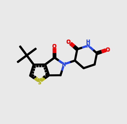 CC(C)(C)c1csc2c1C(=O)N(C1CCC(=O)NC1=O)C2